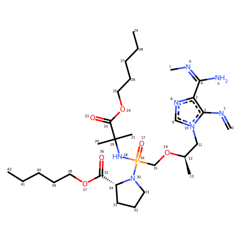 C=Nc1c(/C(N)=N\C)ncn1C[C@@H](C)OCP(=O)(NC(C)(C)C(=O)OCCCCC)N1CCC[C@@H]1C(=O)OCCCCC